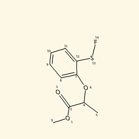 COC(=O)C(C)Oc1ccccc1SF